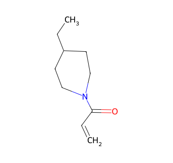 C=CC(=O)N1CCC(CC)CC1